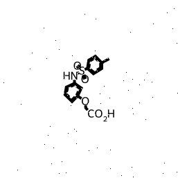 Cc1ccc(S(=O)(=O)Nc2cccc(OCC(=O)O)c2)cc1